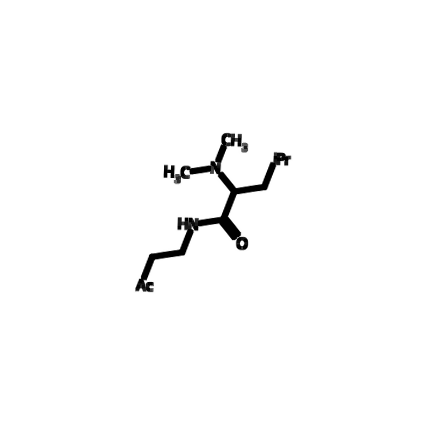 CC(=O)CCNC(=O)C(CC(C)C)N(C)C